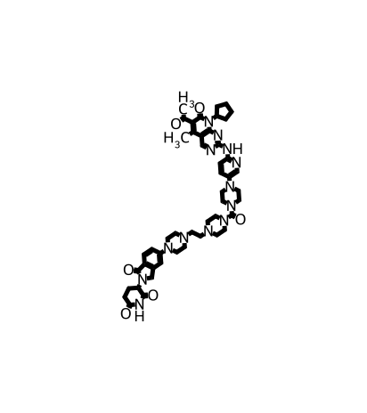 CC(=O)c1c(C)c2cnc(Nc3ccc(N4CCN(C(=O)N5CCN(CCN6CCN(c7ccc8c(c7)CN(C7CCC(=O)NC7=O)C8=O)CC6)CC5)CC4)cn3)nc2n(C2CCCC2)c1=O